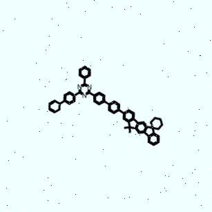 CC1(C)c2cc(-c3ccc(-c4ccc(-c5nc(-c6ccccc6)nc(-c6ccc(C7C=CC=CC7)cc6)n5)cc4)cc3)ccc2-c2cc3c(cc21)-c1ccccc1C31CCCCC1